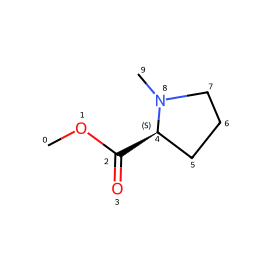 COC(=O)[C@@H]1CCCN1C